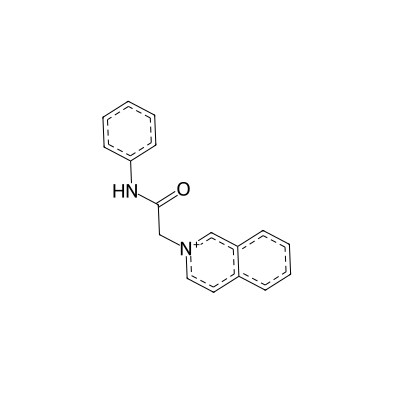 O=C(C[n+]1ccc2ccccc2c1)Nc1ccccc1